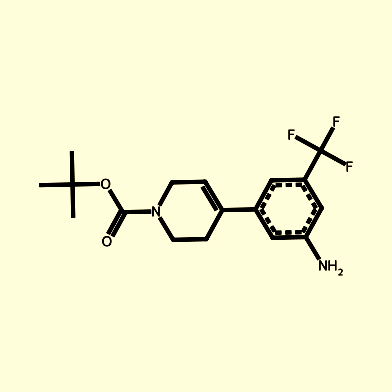 CC(C)(C)OC(=O)N1CC=C(c2cc(N)cc(C(F)(F)F)c2)CC1